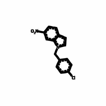 O=[N+]([O-])c1ccc2ccn(Cc3ccc(Cl)cc3)c2c1